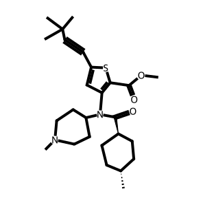 COC(=O)c1sc(C#CC(C)(C)C)cc1N(C(=O)[C@H]1CC[C@H](C)CC1)C1CCN(C)CC1